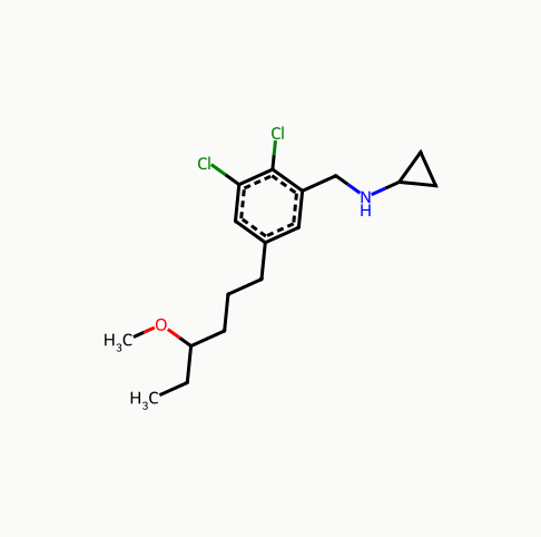 CCC(CCCc1cc(Cl)c(Cl)c(CNC2CC2)c1)OC